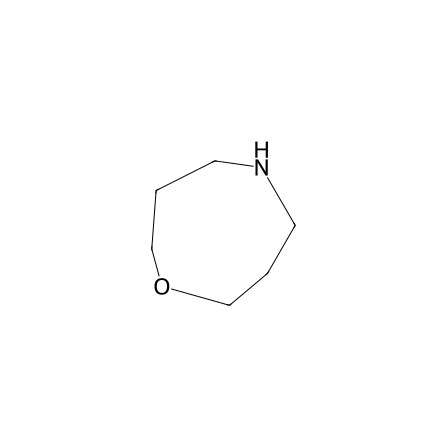 C1CNCCCOC1